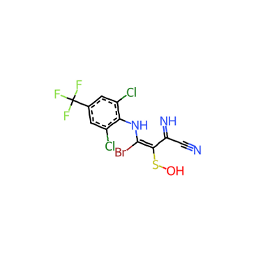 N#CC(=N)/C(SO)=C(/Br)Nc1c(Cl)cc(C(F)(F)F)cc1Cl